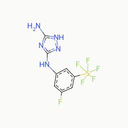 Nc1nc(Nc2cc(F)cc(S(F)(F)(F)(F)F)c2)n[nH]1